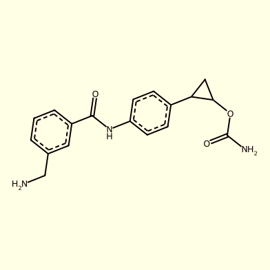 NCc1cccc(C(=O)Nc2ccc(C3CC3OC(N)=O)cc2)c1